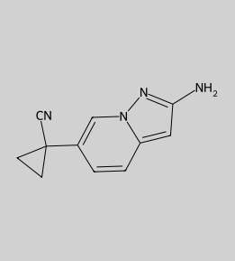 N#CC1(c2ccc3cc(N)nn3c2)CC1